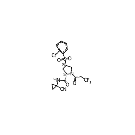 N#CC1(NC(=O)[C@@H]2C[C@@H](S(=O)(=O)c3ccccc3Cl)CN2C(=O)CC(F)(F)F)CC1